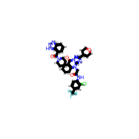 O=C(Cn1c2c(c(=O)n3nc(C4=CCOCC4)nc13)C1(CCC2)CCN(C(=O)c2cccc3nn[nH]c23)CC1)Nc1ccc(C(F)(F)F)cc1Cl